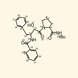 CC(C)(C)NC(=O)C1CSCN1C(=O)[C@@H](O)[C@H](Cc1ccccc1)NC(=O)c1ccccn1